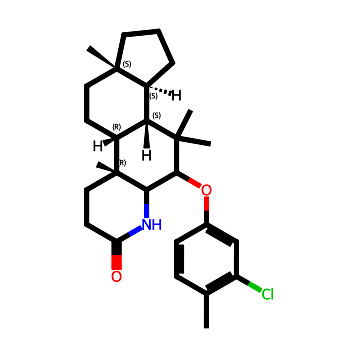 Cc1ccc(OC2C3NC(=O)CC[C@]3(C)[C@@H]3CC[C@]4(C)CCC[C@H]4[C@@H]3C2(C)C)cc1Cl